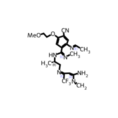 C=N/C(N)=C\C(=N/C[C@@H](C)N/C(=N/C)c1cc(OCCOC)c(C#N)cc1/N=C/C)C(F)(F)F